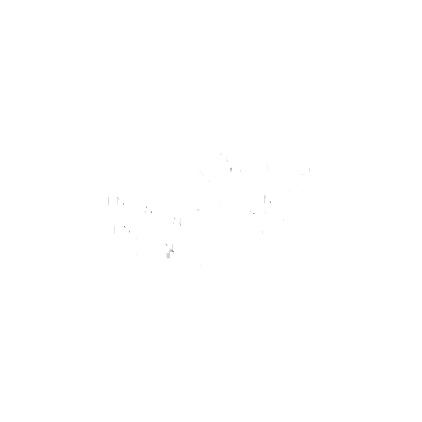 CCC(CC)CN(C(Cc1ccccc1)C(=O)O)[P@](=O)(OCC1(COC(=O)C(C)C)C/C1=C/n1cnc2c(=O)[nH]c(N)nc21)Oc1ccccc1